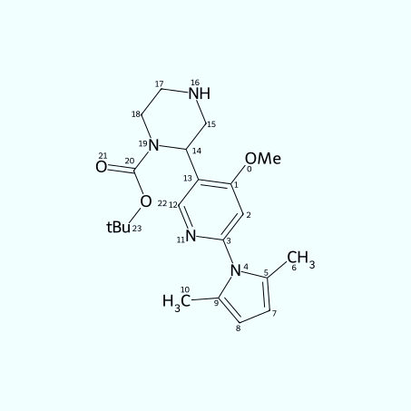 COc1cc(-n2c(C)ccc2C)ncc1C1CNCCN1C(=O)OC(C)(C)C